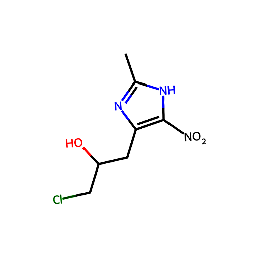 Cc1nc(CC(O)CCl)c([N+](=O)[O-])[nH]1